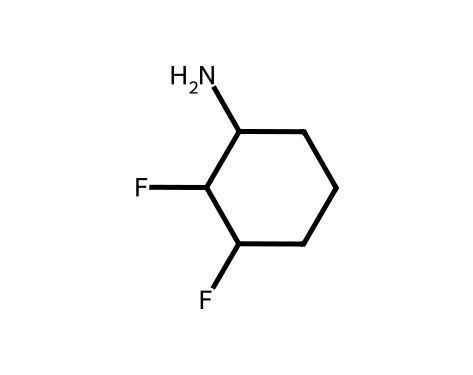 NC1CCCC(F)C1F